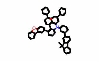 CC1(C)c2ccccc2-c2ccc(-c3cccc(N(c4cccc(-c5ccccc5)c4)c4cccc(-c5ccc6oc7ccccc7c6c5)c4-c4ccc(-c5ccccc5)cc4)c3)cc21